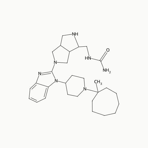 CC1(N2CCC(n3c(N4CC5CNC(CNC(N)=O)C5C4)nc4ccccc43)CC2)CCCCCCC1